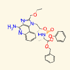 CCOCc1nc2c(N)nc3ccccc3c2n1C[C@@H](C)O[P@](=O)(N[C@@H](C)C(=O)OCc1ccccc1)Oc1ccccc1